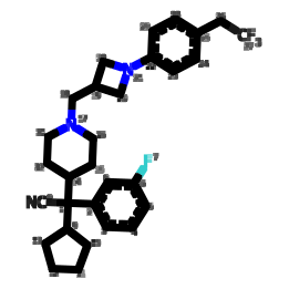 N#CC(c1cccc(F)c1)(C1CCCC1)C1CCN(CC2CN(c3ccc(CC(F)(F)F)cc3)C2)CC1